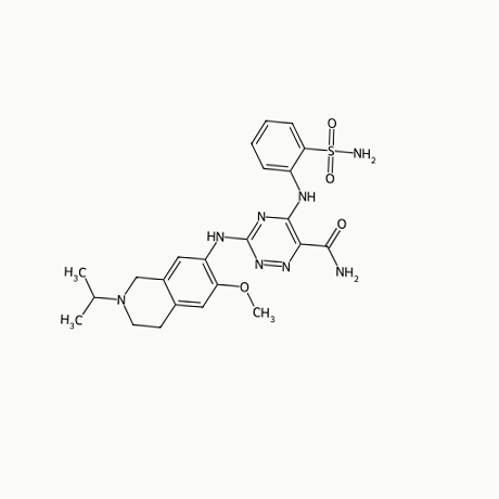 COc1cc2c(cc1Nc1nnc(C(N)=O)c(Nc3ccccc3S(N)(=O)=O)n1)CN(C(C)C)CC2